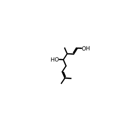 CC(C)=CCC(O)C(C)C=CO